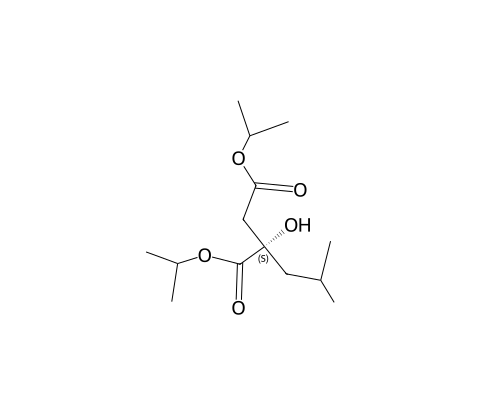 CC(C)C[C@](O)(CC(=O)OC(C)C)C(=O)OC(C)C